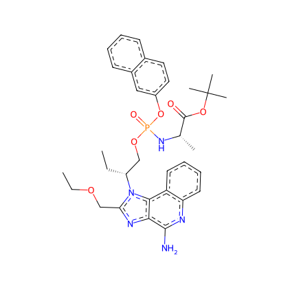 CCOCc1nc2c(N)nc3ccccc3c2n1[C@H](CC)COP(=O)(N[C@@H](C)C(=O)OC(C)(C)C)Oc1ccc2ccccc2c1